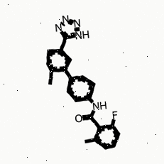 Cc1ccc(-c2nnn[nH]2)cc1-c1ccc(NC(=O)c2c(C)cccc2F)cc1